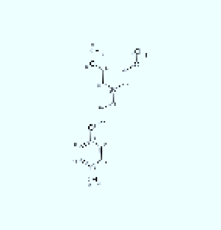 COCCN(CCCOc1ccc(C)cc1)CCOC